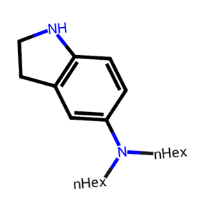 CCCCCCN(CCCCCC)c1ccc2c(c1)CCN2